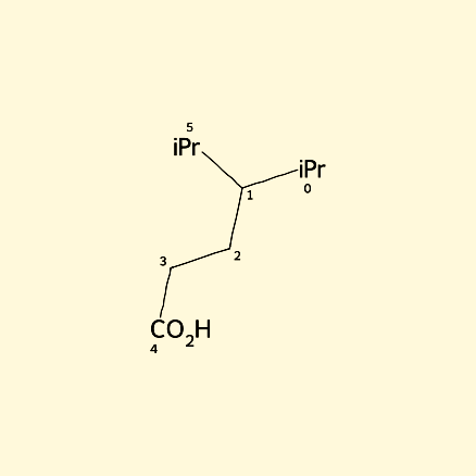 CC(C)C(CCC(=O)O)C(C)C